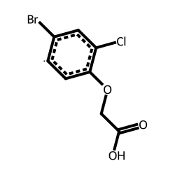 O=C(O)COc1c[c]c(Br)cc1Cl